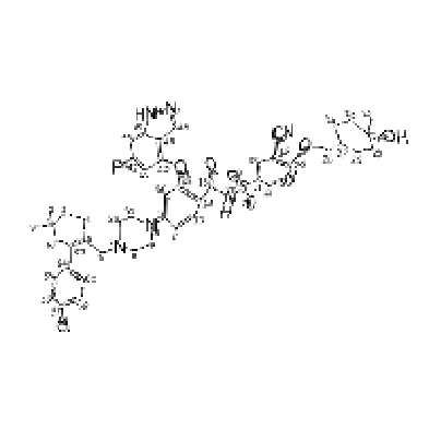 CC1(C)CCC(CN2CCN(c3ccc(C(=O)NS(=O)(=O)c4cnc(OC[C@H]5CC[C@@](C)(O)CC5)c(C#N)c4)c(Oc4cc(F)cc5[nH]ncc45)c3)CC2)=C(c2ccc(Cl)cc2)C1